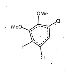 COc1c(Cl)cc(Cl)c(I)c1OC